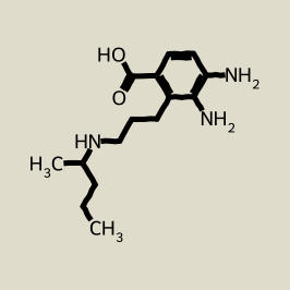 CCCC(C)NCCCc1c(C(=O)O)ccc(N)c1N